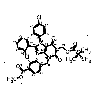 COC(=O)c1ccc(Cn2c(=O)n(COC(=O)C(C)(C)C)c(=O)c3c2nc(-c2ccccc2Cl)n3-c2ccc(Cl)cc2)cc1